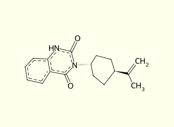 C=C(C)[C@H]1CC[C@H](n2c(=O)[nH]c3ccccc3c2=O)CC1